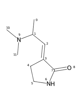 CC(/C=C1\CCNC1=O)N(C)C